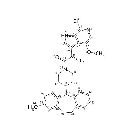 COc1cnc(Cl)c2[nH]cc(C(=O)C(=O)N3CCC(=C4c5ccc(C)cc5CCc5cccnc54)CC3)c12